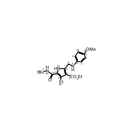 CCOC(=O)c1c(CNc2ccc(OC)cc2)[nH]c(C(=O)NC(C)(C)C)c1CC